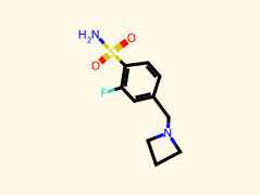 NS(=O)(=O)c1ccc(CN2CCC2)cc1F